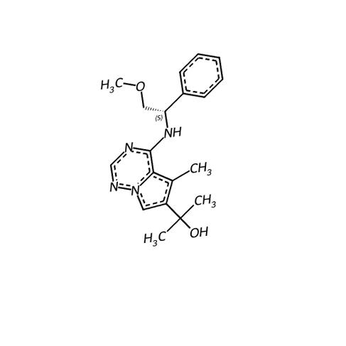 COC[C@@H](Nc1ncnn2cc(C(C)(C)O)c(C)c12)c1ccccc1